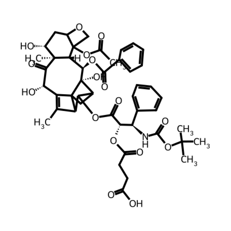 CC(=O)OC12COC1C[C@@H](O)[C@]1(C)C(=O)[C@@H](O)C3=C(C)C4C(OC(=O)[C@@H](OC(=O)CCC(=O)O)[C@H](NC(=O)OC(C)(C)C)c5ccccc5)C5CC34[C@@]5(O)[C@H](OC(=O)c3ccccc3)[C@@H]21